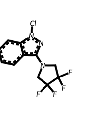 FC1(F)CN(c2nn(Cl)c3ccccc23)CC1(F)F